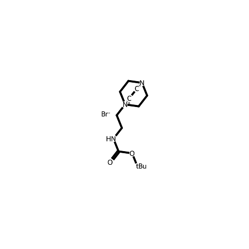 CC(C)(C)OC(=O)NCC[N+]12CCN(CC1)CC2.[Br-]